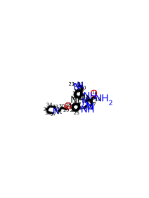 CC(=O)Nc1cc(Nc2ncc(C(N)=O)c(Nc3cccc4c3cnn4C)n2)ccc1OCCCN1CCCCC1